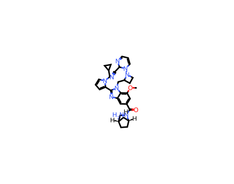 COc1cc(C(=O)N2C[C@H]3CC[C@@H]2[C@@H]3N)cc2nc(-c3cccn3CC3CC3)n(CC3CCN3N3C=CC=NC3C#N)c12